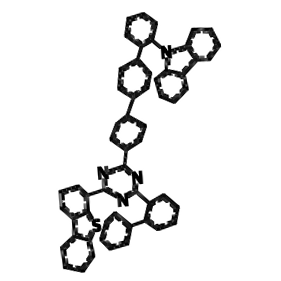 c1ccc(-c2ccccc2-c2nc(-c3ccc(-c4ccc(-c5ccccc5-n5c6ccccc6c6ccccc65)cc4)cc3)nc(-c3cccc4c3sc3ccccc34)n2)cc1